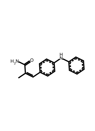 CC(=Cc1ccc(Nc2ccccc2)cc1)C(N)=O